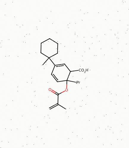 C=C(C)C(=O)OC1(C(C)C)C=CC(C2(C)CCCCC2)=CC1C(=O)O